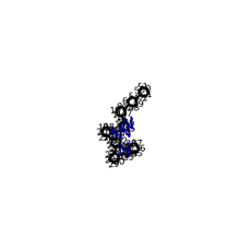 c1ccc(-c2ccc(-c3cccc(-c4cc(-n5c6ccccc6c6cc7c8ccccc8c8cc9ccccc9n8c7cc65)ncn4)c3)cc2)cc1